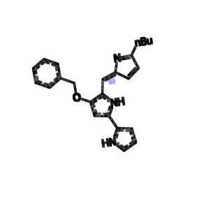 CCCCC1=N/C(=C/c2[nH]c(-c3ccc[nH]3)cc2OCc2ccccc2)C=C1